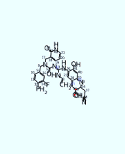 C=CN/C(=N\C(=O)N(Cc1ccc(P)c(F)c1)Cc1ccc[nH]c1=O)NC1=CC(=C/CC)/C(=N\C(CC)CC#N)C=C1O